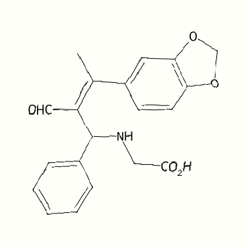 CC(=C(C=O)C(NCC(=O)O)c1ccccc1)c1ccc2c(c1)OCO2